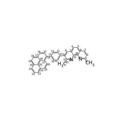 Cc1ccc2ccc3cc(-c4ccc(-c5ccc6ccc7cccc8ccc5c6c78)cc4)c(C)nc3c2n1